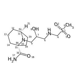 CS(=O)(=O)CNCC(O)CN1[C@H]2C[CH]C[C@]1(C(N)=O)CC2